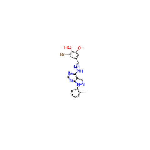 COc1cc(/C=N/Nc2ncnc3c2cnn3-c2ccccc2C)cc(Br)c1O